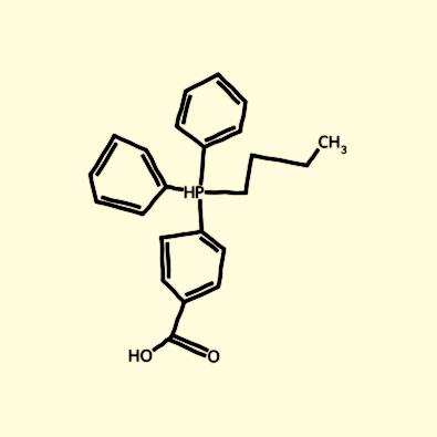 CCCC[PH](c1ccccc1)(c1ccccc1)c1ccc(C(=O)O)cc1